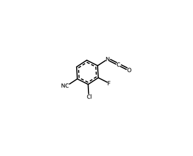 N#Cc1ccc(N=C=O)c(F)c1Cl